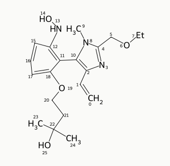 C=Cc1nc(COCC)n(C)c1-c1c(NO)cccc1OCCC(C)(C)O